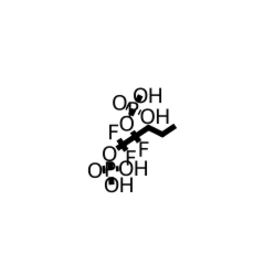 CCCC(F)(OP(=O)(O)O)C(F)(F)OP(=O)(O)O